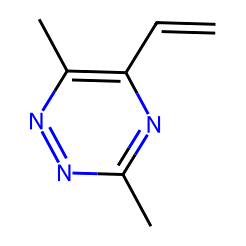 C=Cc1nc(C)nnc1C